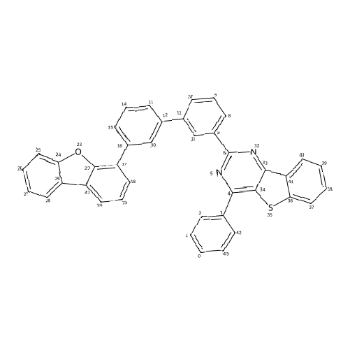 c1ccc(-c2nc(-c3cccc(-c4cccc(-c5cccc6c5oc5ccccc56)c4)c3)nc3c2sc2ccccc23)cc1